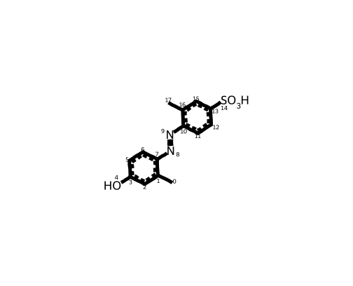 Cc1cc(O)ccc1/N=N/c1ccc(S(=O)(=O)O)cc1C